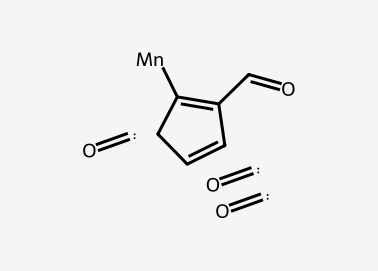 O=CC1=[C]([Mn])CC=C1.[C]=O.[C]=O.[C]=O